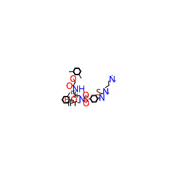 Cc1cccc(C)c1OCC(=O)N[C@@H](Cc1ccccc1)[C@H](O)CN(CC(C)C)S(=O)(=O)c1ccc2nc(N(C)CCCN(C)C)sc2c1